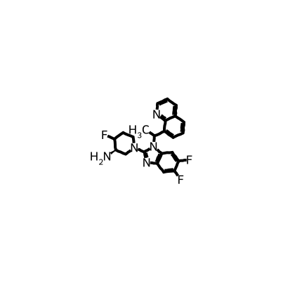 CC(c1cccc2cccnc12)n1c(N2CCC(F)[C@H](N)C2)nc2cc(F)c(F)cc21